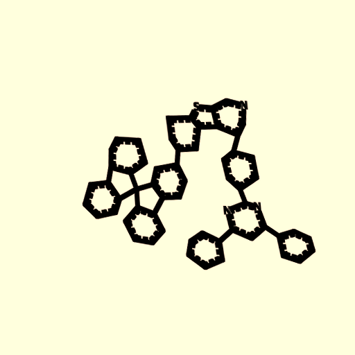 c1ccc(-c2cc(-c3ccccc3)nc(-c3ccc(-c4cncc5sc6ccc(-c7ccc8c(c7)C7(c9ccccc9-c9ccccc97)c7ccccc7-8)cc6c45)cc3)n2)cc1